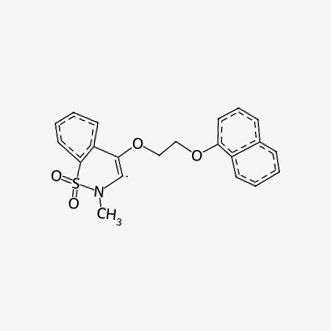 CN1[C]=C(OCCOc2cccc3ccccc23)c2ccccc2S1(=O)=O